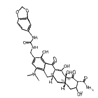 CN(C)c1cc(CNC(=O)Nc2ccc3c(c2)OCO3)c(O)c2c1C[C@H]1C[C@H]3CC(O)C(C(N)=O)C(=O)[C@@]3(O)C(O)=C1C2=O